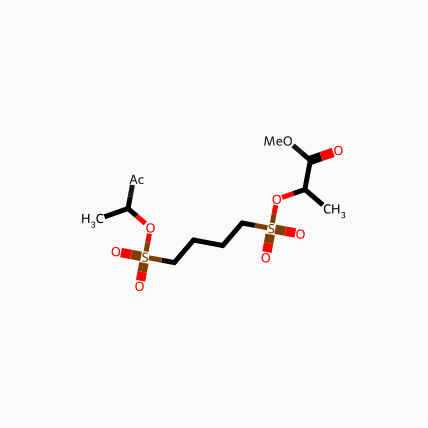 COC(=O)C(C)OS(=O)(=O)CCCCS(=O)(=O)OC(C)C(C)=O